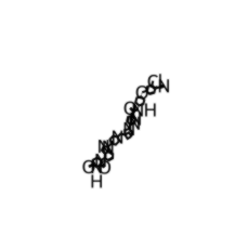 N#Cc1ccc(O[C@H]2CC[C@H](NC(=O)c3ccc(N4CC5CC(CN6CCC(n7ncc8c(N9CCC(=O)NC9=O)cccc87)CC6)(C5)C4)nn3)CC2)cc1Cl